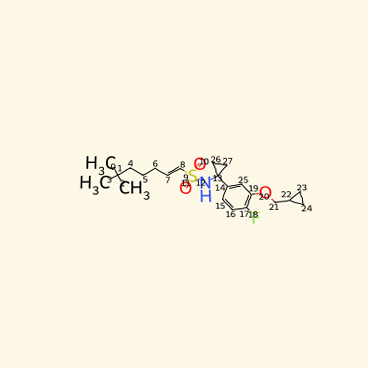 CC(C)(C)CCC/C=C/S(=O)(=O)NC1(c2ccc(F)c(OCC3CC3)c2)CC1